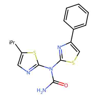 CC(C)c1cnc(N(C(N)=O)c2nc(-c3ccccc3)cs2)s1